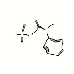 CC(C)(C)N(C(=O)OS(=O)(=O)Cl)c1ccccc1